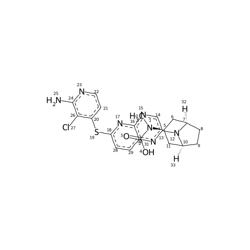 CN(C(=O)O)[C@H]1C[C@H]2CC[C@@H](C1)N2c1cnc2nc(Sc3ccnc(N)c3Cl)ccc2n1